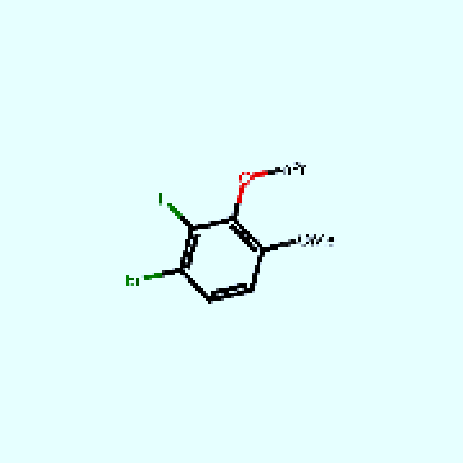 CCCOc1c(OC)ccc(Br)c1F